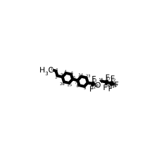 CCCC1CCC(C2CCC(C(F)(F)OCC(F)(F)C(F)(F)F)CC2)CC1